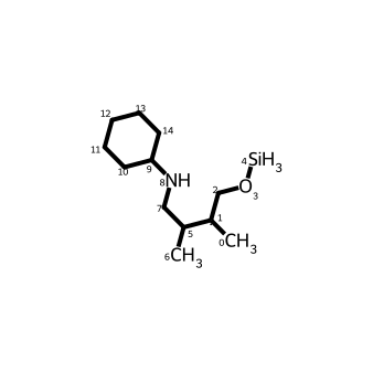 C[C](CO[SiH3])C(C)CNC1CCCCC1